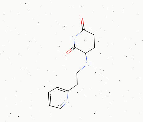 O=C1CCC(NCCc2ccccn2)C(=O)N1